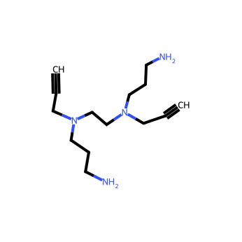 C#CCN(CCCN)CCN(CC#C)CCCN